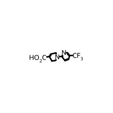 O=C(O)C1=CCN(c2ccc(C(F)(F)F)cn2)CC1